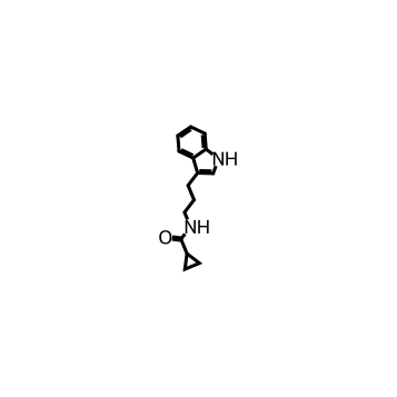 O=C(NCCCc1c[nH]c2ccccc12)C1CC1